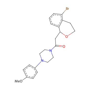 COc1ccc(N2CCN(C(=O)CC3OCCc4c(Br)cccc43)CC2)cc1